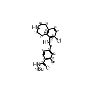 CCC(C)NC(=O)c1ccc(CNc2c(Cl)ccc3c2CCNCC3)cc1F